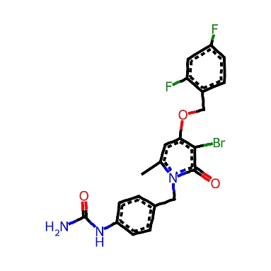 Cc1cc(OCc2ccc(F)cc2F)c(Br)c(=O)n1Cc1ccc(NC(N)=O)cc1